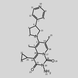 Cc1c(N2CCC(c3ccncc3)C2)c(F)cn2c(=O)n(N)c(=O)c(C3CC3)c12